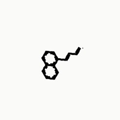 [CH]=CC=Cc1cccc2ccccc12